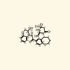 CCC1(CC)CC(=O)N([C@@H]2CCCOc3ccc(C(=O)N[C@@H]4c5ccccc5OC[C@@]4(C)O)cc32)C(=N)N1